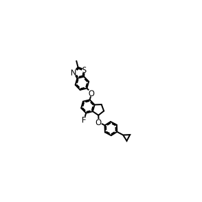 Cc1nc2ccc(Oc3ccc(F)c4c3CCC4Oc3ccc(C4CC4)cc3)cc2s1